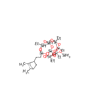 CC[SiH]1O[Si]2(CC)O[Si]3(CC)O[Si](CC)(O[SiH3])O[Si]4(CC)O[Si](CCC5CC6CC5C(C)C6C)(O1)O[Si](CC)(O2)O[Si](CC)(O3)O4